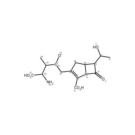 CC(O)C1C(=O)N2C(C(=O)O)=C(C[S+]([O-])C(C)C(N)C(=O)O)CC12